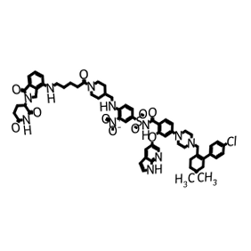 CC1(C)CCC(CN2CCN(c3ccc(C(=O)NS(=O)(=O)c4ccc(NCC5CCN(C(=O)CCCCNc6cccc7c6CN(C6CCC(=O)NC6=O)C7=O)CC5)c([N+](=O)[O-])c4)c(Oc4cnc5[nH]ccc5c4)c3)CC2)=C(c2ccc(Cl)cc2)C1